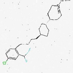 CCCCC[SiH]1CCC([C@H]2CC[C@H](CCCCc3ccc(Cl)cc3C(F)F)CC2)CC1